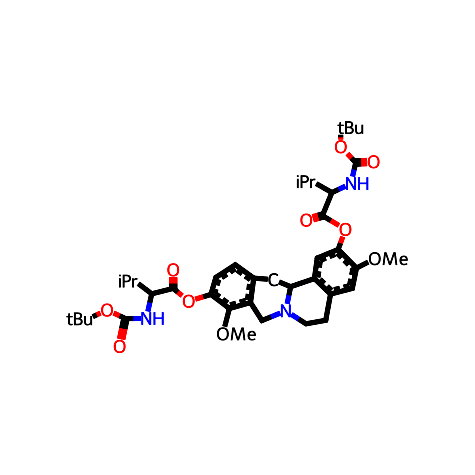 COc1cc2c(cc1OC(=O)C(NC(=O)OC(C)(C)C)C(C)C)C1Cc3ccc(OC(=O)C(NC(=O)OC(C)(C)C)C(C)C)c(OC)c3CN1CC2